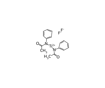 CC(=O)[N]([Ti+2][N](C(C)=O)c1ccccc1)c1ccccc1.[F-].[F-]